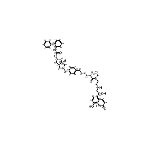 CCN(CCNC[C@H](O)c1ccc(O)c2[nH]c(=O)ccc12)C(=O)CCOCCc1ccc(CN2CC3CC(OC(=O)Nc4ccccc4-c4ccccc4)C[C@H]3C2)cc1